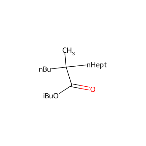 CCCCCCCC(C)(CCCC)C(=O)OCC(C)C